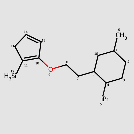 CC1CCC(C(C)C)C(CCOC2=C([SiH3])CC=C2)C1